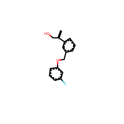 C=C(CO)c1cccc(COc2cccc(F)c2)c1